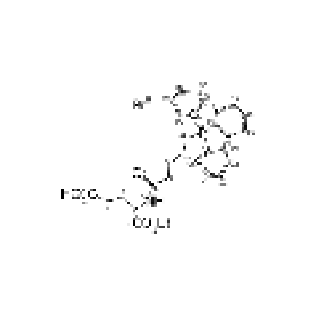 CCOC(=O)C(CCC(=O)O)NC(=O)CCCC[P+](c1ccccc1)(c1ccccc1)c1ccccc1.[Br-]